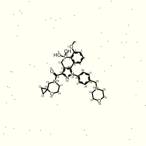 COc1cccc2c1S(O)(O)Cc1c(C(=O)N3CCOC4(CC4)C3)nn(-c3ccc(CN4CCOCC4)cc3)c1-2